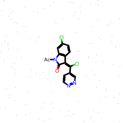 CC(=O)N1C(=O)/C(=C(/Cl)c2ccnnc2)c2ccc(Cl)cc21